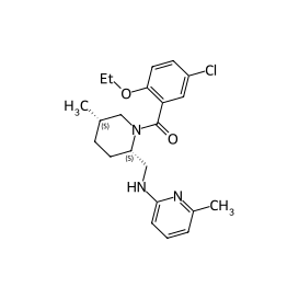 CCOc1ccc(Cl)cc1C(=O)N1C[C@@H](C)CC[C@H]1CNc1cccc(C)n1